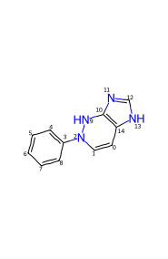 C1=CN(c2ccccc2)Nc2nc[nH]c21